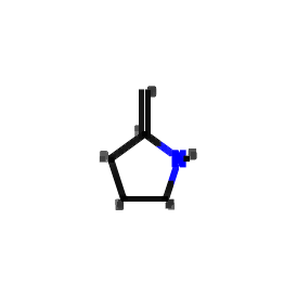 C=C1CCC[N]1